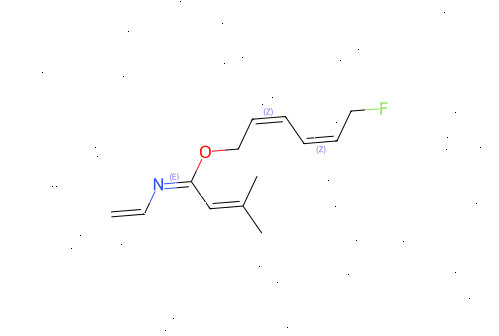 C=C/N=C(\C=C(C)C)OC/C=C\C=C/CF